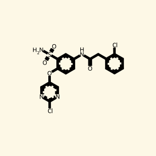 NS(=O)(=O)c1cc(NC(=O)Cc2ccccc2Cl)ccc1Oc1cnc(Cl)nc1